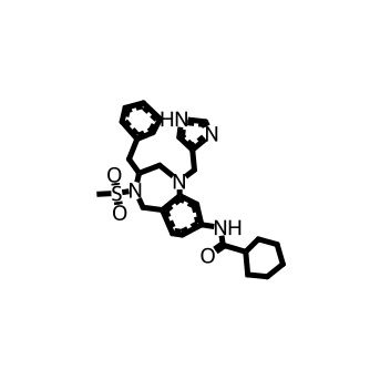 CS(=O)(=O)N1Cc2ccc(NC(=O)C3CCCCC3)cc2N(Cc2c[nH]cn2)CC1Cc1ccccc1